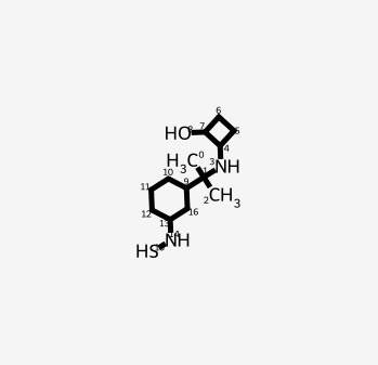 CC(C)(NC1CCC1O)C1CCCC(NS)C1